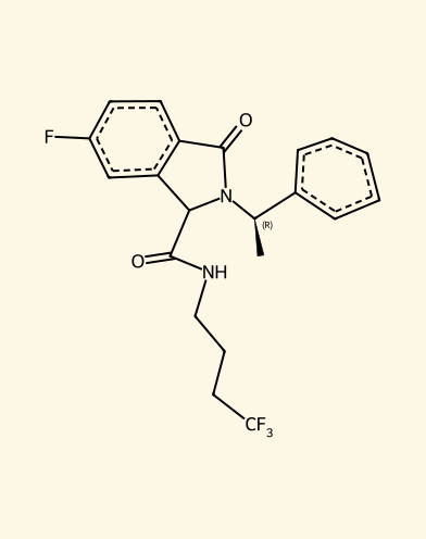 C[C@H](c1ccccc1)N1C(=O)c2ccc(F)cc2C1C(=O)NCCCC(F)(F)F